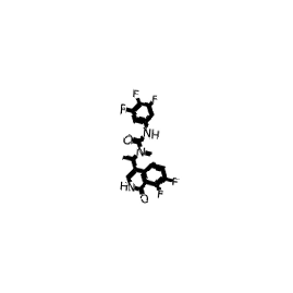 CC(c1c[nH]c(=O)c2c(F)c(F)ccc12)N(C)C(=O)Nc1cc(F)c(F)c(F)c1